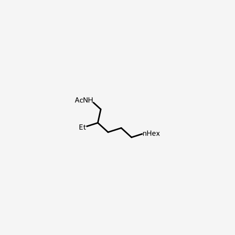 CCCCCCCCCC(CC)CNC(C)=O